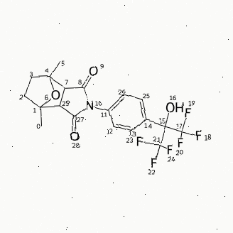 CC12CCC(C)(O1)C1C(=O)N(c3ccc(C(O)(C(F)(F)F)C(F)(F)F)cc3)C(=O)C12